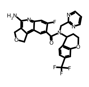 Nc1nc2cc(F)c(C(=O)N(Cc3ncccn3)C3CCOc4cc(C(F)(F)F)ccc43)cc2c2c1COC2